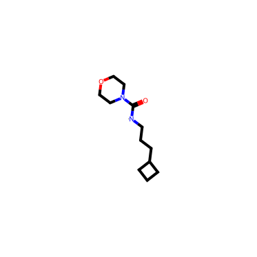 O=C([N]CCCC1CCC1)N1CCOCC1